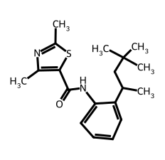 Cc1nc(C)c(C(=O)Nc2ccccc2C(C)CC(C)(C)C)s1